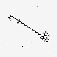 CC(=O)[C@@H](C)CCCCNC(=O)CCCCCCCCCCCCCCCn1cnc(-c2nnn[nH]2)c1-c1nnn[nH]1